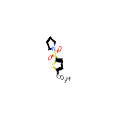 O=C(O)c1ccc(S(=O)(=O)N2CCCC2)s1